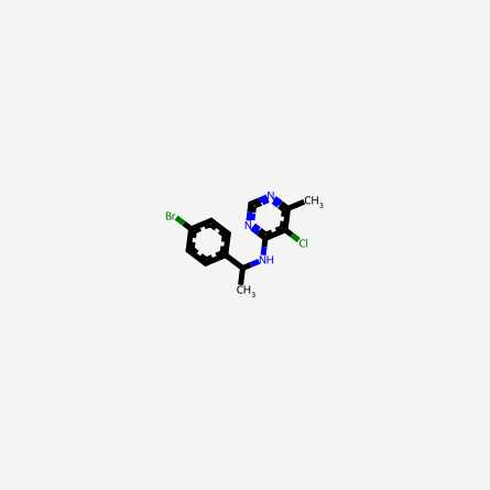 Cc1ncnc(NC(C)c2ccc(Br)cc2)c1Cl